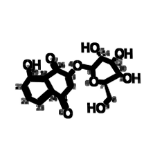 O=C1C=C(OC2O[C@H](CO)[C@@H](O)[C@H](O)[C@H]2O)C(=O)c2c(O)cccc21